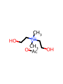 CC(=O)[O-].C[N+](C)(CCO)CCO